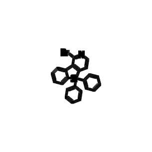 Brc1nccc2c1-c1ccccc1[Si]2(c1ccccc1)c1ccccc1